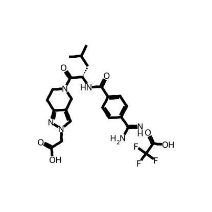 CC(C)C[C@H](NC(=O)c1ccc(C(=N)N)cc1)C(=O)N1CCc2nn(CC(=O)O)cc2C1.O=C(O)C(F)(F)F